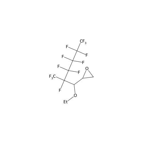 CCOC(C1CO1)C(F)(C(F)(F)F)C(F)(F)C(F)(F)C(F)(F)C(F)(F)F